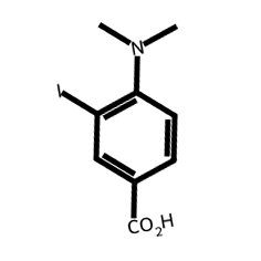 CN(C)c1ccc(C(=O)O)cc1I